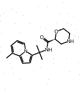 Cc1cccn2c(C(C)(C)NC(=O)[C@@H]3CNCCO3)ccc12